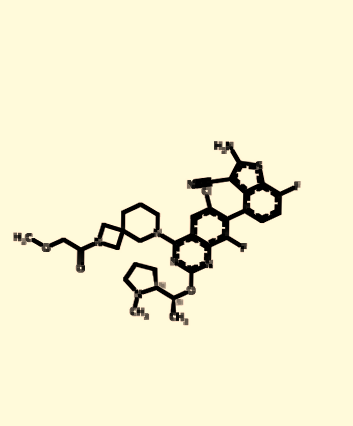 COCC(=O)N1CC2(CCCN(c3nc(O[C@@H](C)[C@@H]4CCCN4C)nc4c(F)c(-c5ccc(F)c6sc(N)c(C#N)c56)c(Cl)cc34)C2)C1